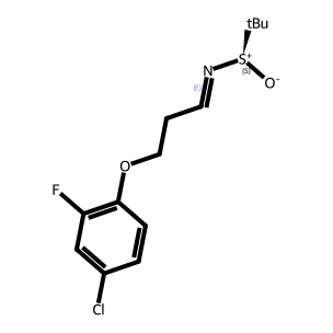 CC(C)(C)[S@@+]([O-])/N=C/CCOc1ccc(Cl)cc1F